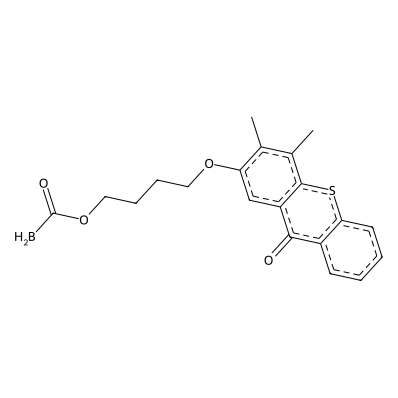 BC(=O)OCCCCOc1cc2c(=O)c3ccccc3sc2c(C)c1C